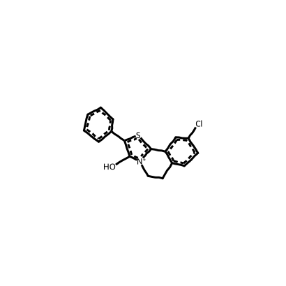 Oc1c(-c2ccccc2)sc2[n+]1CCc1ccc(Cl)cc1-2